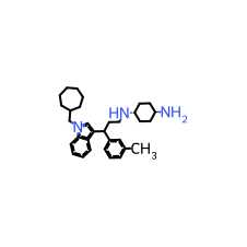 Cc1cccc(C(CCN[C@H]2CC[C@H](N)CC2)c2cn(CC3CCCCCC3)c3ccccc23)c1